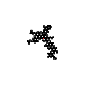 COCC1O[C@@H](O[C@H]2C(C)C(C)[C@@H](O[C@H]3C(C)C(OC)[C@H](O[C@@H]4C(CO)O[C@@H](C)C(C)[C@H]4C)O[C@H]3COC)O[C@H]2COC)C(OC)[C@@H](C)[C@@H]1O[C@H]1OC(CN2C(=O)c3ccccc3C2=O)[C@@H](O[C@@H]2O[C@@H](COC(C)=O)[C@@H](O[C@H]3O[C@@H](COC(C)=O)[C@@H](C)C(C)C3C)C(C)C2OC(C)=O)[C@H](C)C1C